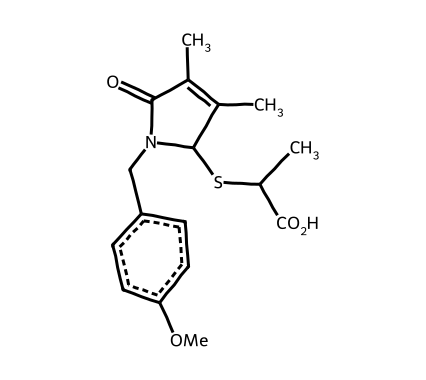 COc1ccc(CN2C(=O)C(C)=C(C)C2SC(C)C(=O)O)cc1